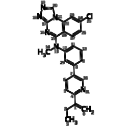 C=C(CC)c1ccc(-c2cccc(N(C)c3nc4nncn4c4cc(Cl)ccc34)c2)cn1